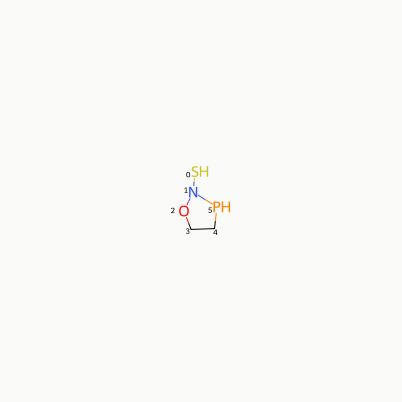 SN1OCCP1